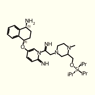 CC(C)[Si](OCC1CN(CC(=N)n2cc(O[C@@H]3CC[C@H](N)c4ccccc43)ccc2=N)CCN1C)(C(C)C)C(C)C